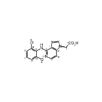 O=C(O)Cn1ccc2c(Nc3c(Cl)cccc3Cl)nccc21